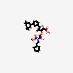 COC(=O)c1sc(-c2cccc(C3CC(C)(C)CC(C)(C)C3)c2)c(C)c1OCC(=O)N(CCc1ccccc1)C(=O)OC